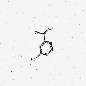 N=C(Cl)c1ccnc(O)n1